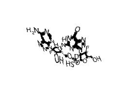 Nc1nc2c(nnn2[C@]2(OP(=O)(S)OC[C@H]3OC[C@](F)(n4nnc5c(N)ncnc54)[C@@H]3O)CO[C@H](CO)[C@H]2F)c(=O)[nH]1